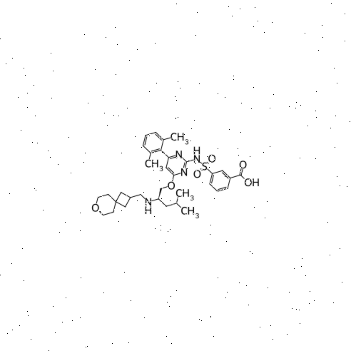 Cc1cccc(C)c1-c1cc(OC[C@@H](CC(C)C)NCC2CC3(CCOCC3)C2)nc(NS(=O)(=O)c2cccc(C(=O)O)c2)n1